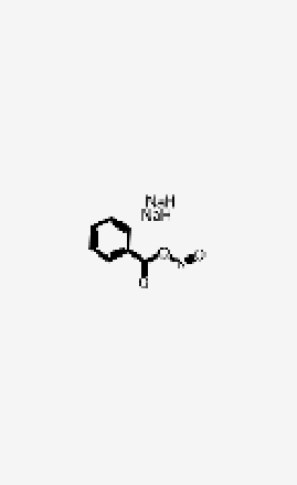 O=NOC(=O)c1ccccc1.[NaH].[NaH]